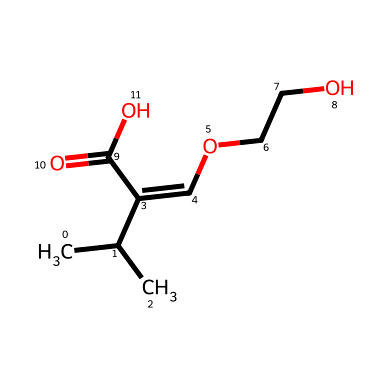 CC(C)C(=COCCO)C(=O)O